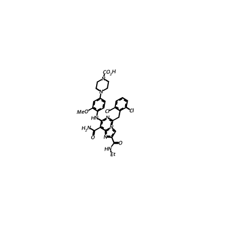 CCNC(=O)c1cn2c(Cc3c(Cl)cccc3Cl)nc(Nc3ccc(N4CCN(C(=O)O)CC4)cc3OC)c(C(N)=O)c2n1